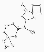 CC(C1CN(C(C)C)C2(CCC2)C1)N1CCCC2(COC2)C1